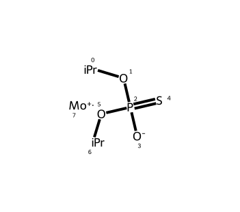 CC(C)OP([O-])(=S)OC(C)C.[Mo+]